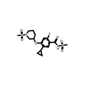 CS(=O)(=O)NC(=O)c1cc(C2CC2)c(OC2CCCN(S(C)(=O)=O)C2)cc1F